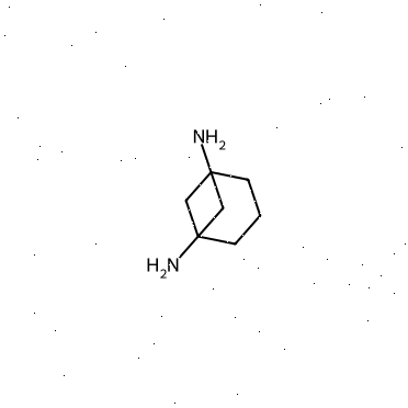 NC12CCCC(N)(C1)C2